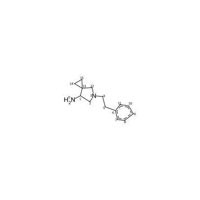 NC1CN(CCc2ccccc2)CC12CC2